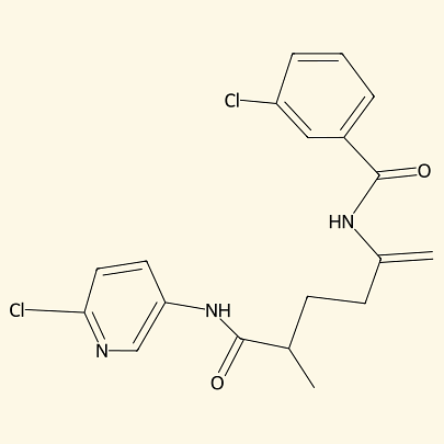 C=C(CCC(C)C(=O)Nc1ccc(Cl)nc1)NC(=O)c1cccc(Cl)c1